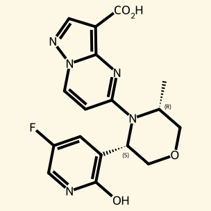 C[C@@H]1COC[C@H](c2cc(F)cnc2O)N1c1ccn2ncc(C(=O)O)c2n1